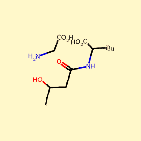 CCC(C)C(NC(=O)CC(C)O)C(=O)O.NCC(=O)O